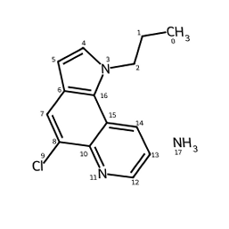 CCCn1ccc2cc(Cl)c3ncccc3c21.N